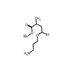 CCC(CC(C)C(=O)OC(C)(C)C)OCCCN